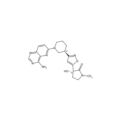 CN1CC[C@@](O)(c2cc([C@@H]3CCCN(c4ccc5ncnc(N)c5n4)C3)no2)C1=O